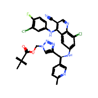 Cc1ccc([C@H](Nc2cc(Cl)c3ncc(C#N)c(Nc4ccc(F)c(Cl)c4)c3c2)c2cn(COC(=O)C(C)(C)C)nn2)cn1